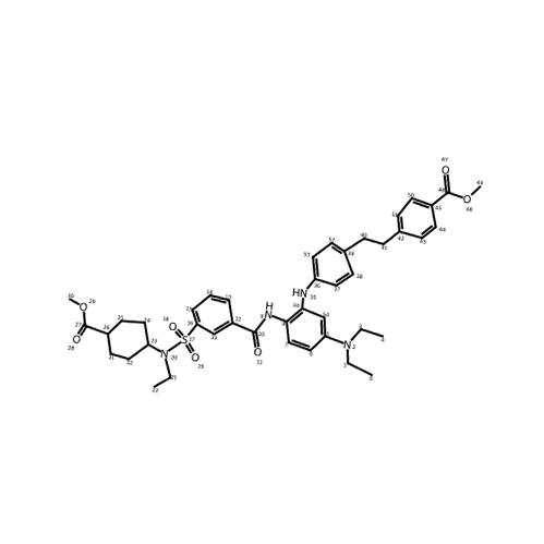 CCN(CC)c1ccc(NC(=O)c2cccc(S(=O)(=O)N(CC)C3CCC(C(=O)OC)CC3)c2)c(Nc2ccc(CCc3ccc(C(=O)OC)cc3)cc2)c1